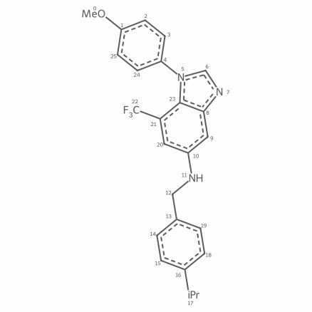 COc1ccc(-n2cnc3cc(NCc4ccc(C(C)C)cc4)cc(C(F)(F)F)c32)cc1